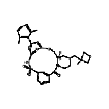 Cc1cccc(C)c1-c1cc2nc(n1)NS(=O)(=O)c1cccc(c1)C(=O)N1CCN(CC3(C)COC3)C[C@@H]1CO2